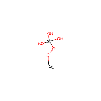 CC(=O)OO[Si](O)(O)O